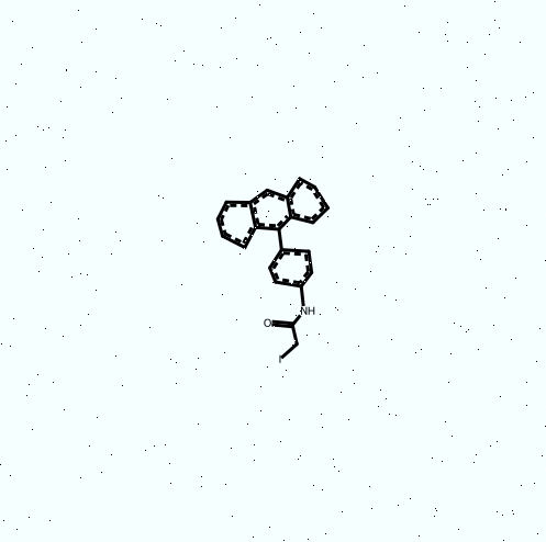 O=C(CI)Nc1ccc(-c2c3ccccc3cc3ccccc23)cc1